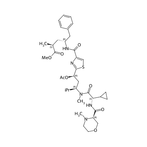 COC(=O)[C@@H](C)C[C@H](Cc1ccccc1)NC(=O)c1csc([C@@H](C[C@H](C(C)C)N(C)C(=O)[C@@H](NC(=O)[C@H]2COCCN2C)C2CC2)OC(C)=O)n1